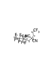 N#CC(C#N)(CCC(F)(F)F)CC(F)(F)C(F)(F)C(F)(F)C(F)F